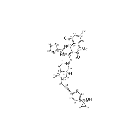 COC(=O)C1=C(CN2CCN3C(=O)N(CC#Cc4ccc(C5(O)CC5)cc4)C[C@@H]3C2)NC(c2nccs2)=N[C@H]1c1ccc(F)cc1Cl